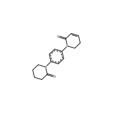 O=C1C=CCCN1c1ccc(N2CCCCC2=O)cc1